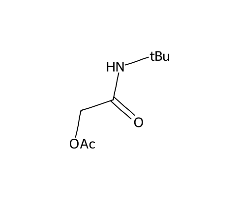 CC(=O)OCC(=O)NC(C)(C)C